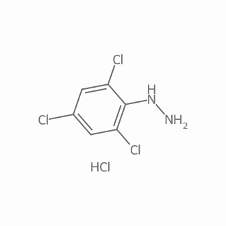 Cl.NNc1c(Cl)cc(Cl)cc1Cl